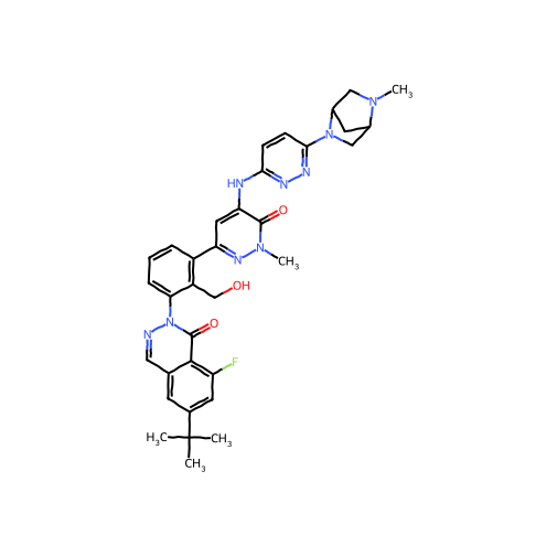 CN1CC2CC1CN2c1ccc(Nc2cc(-c3cccc(-n4ncc5cc(C(C)(C)C)cc(F)c5c4=O)c3CO)nn(C)c2=O)nn1